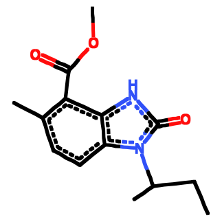 CCC(C)n1c(=O)[nH]c2c(C(=O)OC)c(C)ccc21